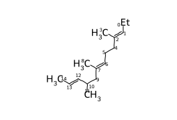 [CH2]C/C=C(\C)CC/C=C(\C)CC(C)/C=C/C